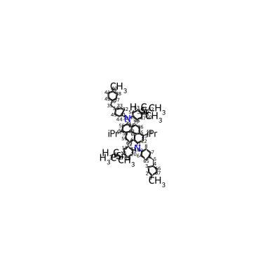 Cc1ccc(Cc2ccc(N(c3ccc([Si](C)(C)C)cc3)c3cc(C(C)C)c4ccc5c(N(c6ccc(Cc7ccc(C)cc7)cc6)c6ccc([Si](C)(C)C)cc6)cc(C(C)C)c6ccc3c4c65)cc2)cc1